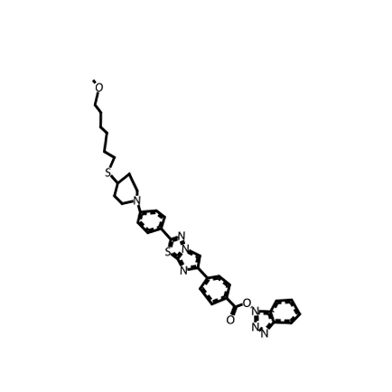 COCCCCCCSC1CCN(c2ccc(-c3nn4cc(-c5ccc(C(=O)On6nnc7ccccc76)cc5)nc4s3)cc2)CC1